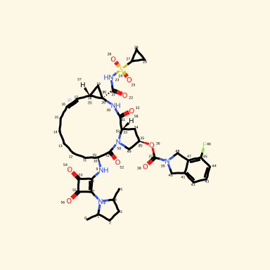 CC1CCC(C)N1c1c(N[C@H]2CCCCC/C=C\[C@@H]3C[C@@]3(C(=O)NS(=O)(=O)C3CC3)NC(=O)[C@@H]3C[C@@H](OC(=O)N4Cc5cccc(F)c5C4)CN3C2=O)c(=O)c1=O